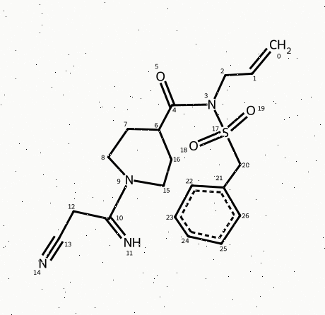 C=CCN(C(=O)C1CCN(C(=N)CC#N)CC1)S(=O)(=O)Cc1ccccc1